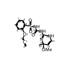 C=C=COc1ccccc1S(=O)(=O)NC(=O)NC1=NC(C)(OC)C=CN1